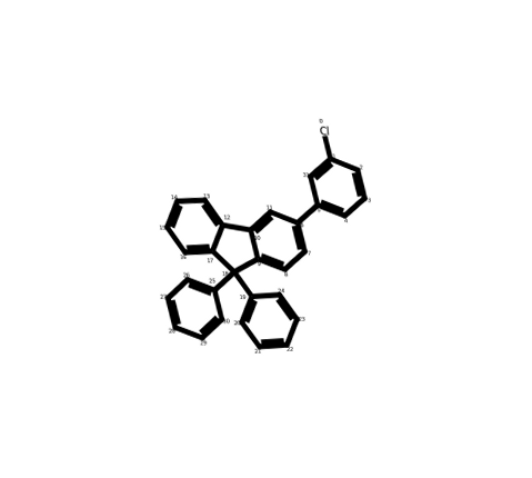 Clc1cccc(-c2ccc3c(c2)-c2ccccc2C3(c2ccccc2)c2ccccc2)c1